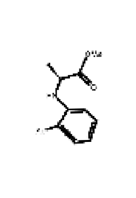 COC(=O)[C@H](C)Nc1ccccc1C(C)=O